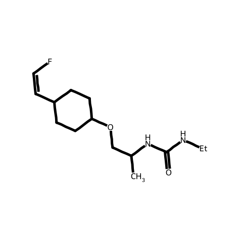 CCNC(=O)NC(C)COC1CCC(/C=C\F)CC1